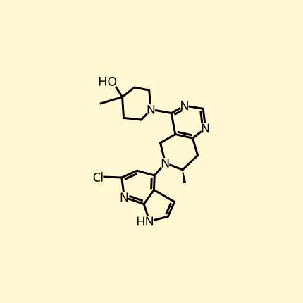 C[C@@H]1Cc2ncnc(N3CCC(C)(O)CC3)c2CN1c1cc(Cl)nc2[nH]ccc12